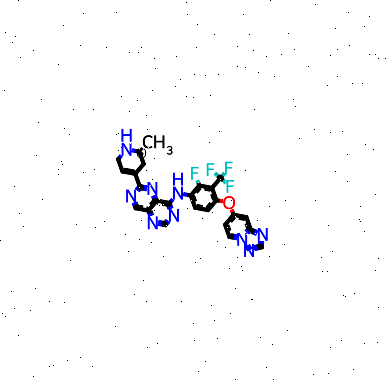 C[C@H]1CC(c2ncc3ncnc(Nc4ccc(Oc5ccn6ncnc6c5)c(C(F)(F)F)c4F)c3n2)=CCN1